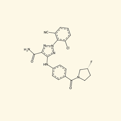 N#Cc1cccc(Cl)c1-n1nc(Nc2ccc(C(=O)N3CC[C@@H](F)C3)cc2)c(C(N)=O)n1